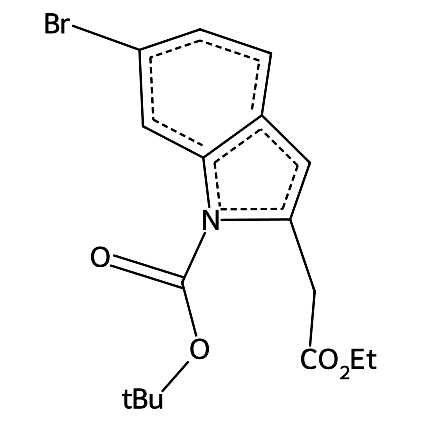 CCOC(=O)Cc1cc2ccc(Br)cc2n1C(=O)OC(C)(C)C